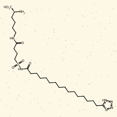 N[C@@H](CCCCNC(=O)CCCS(=O)(=O)NC(=O)CCCCCCCCCCCCCCCc1nnn[nH]1)C(=O)O